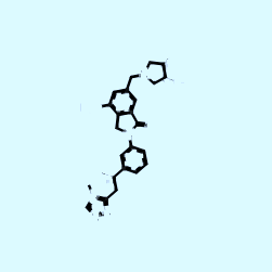 C[C@H](Cc1nncn1C)c1cccc(N2Cc3c(cc(CN4C[C@@H](F)[C@@H](O)C4)cc3C(F)(F)F)C2=O)c1